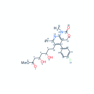 COC(=O)CC(O)CC(O)CCc1c(C(C)C)nc2c(c1-c1ccc(F)cc1)COC(=O)N2C